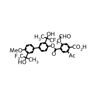 COc1ccc(-c2ccc(OC(=O)c3cc(C(C)=O)c(C(=O)O)cc3OC=O)c(C(C)(O)C(F)(F)F)c2)cc1C(C)(O)C(F)(F)F